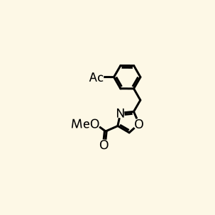 COC(=O)c1coc(Cc2cccc(C(C)=O)c2)n1